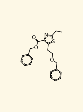 CCc1nc(C(=O)OCc2ccccc2)c(CCOCc2ccccc2)s1